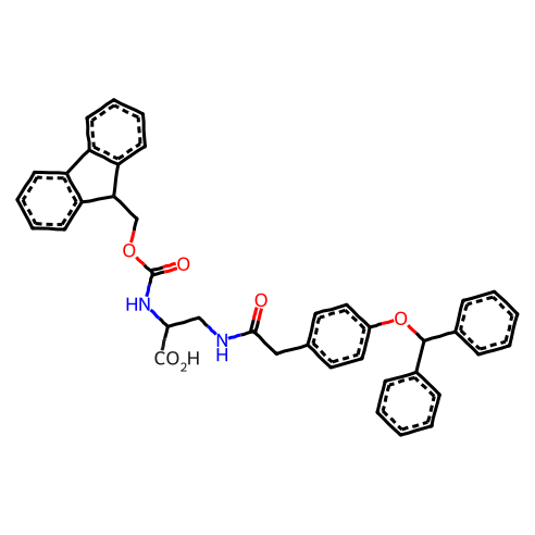 O=C(Cc1ccc(OC(c2ccccc2)c2ccccc2)cc1)NCC(NC(=O)OCC1c2ccccc2-c2ccccc21)C(=O)O